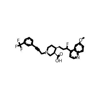 COc1ccc2nccc(C(F)CC[C@@H]3CCN(CC#Cc4cccc(C(F)(F)F)c4)C[C@@H]3C(=O)O)c2c1